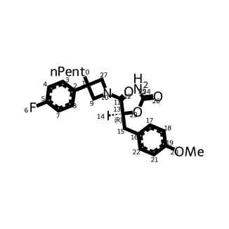 CCCCCC1(c2ccc(F)cc2)CN(C(=O)[C@](I)(Cc2ccc(OC)cc2)OC(N)=O)C1